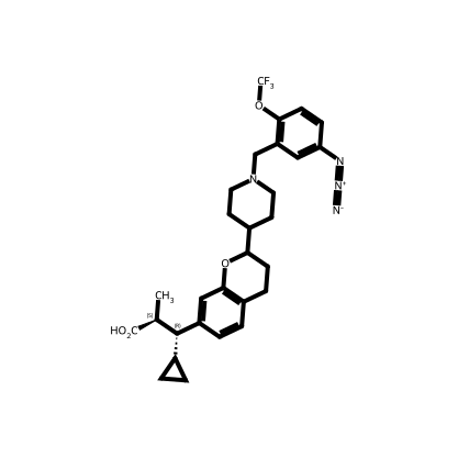 C[C@H](C(=O)O)[C@H](c1ccc2c(c1)OC(C1CCN(Cc3cc(N=[N+]=[N-])ccc3OC(F)(F)F)CC1)CC2)C1CC1